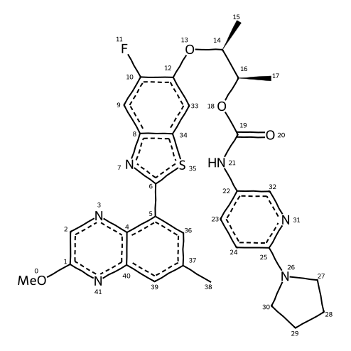 COc1cnc2c(-c3nc4cc(F)c(O[C@@H](C)[C@@H](C)OC(=O)Nc5ccc(N6CCCC6)nc5)cc4s3)cc(C)cc2n1